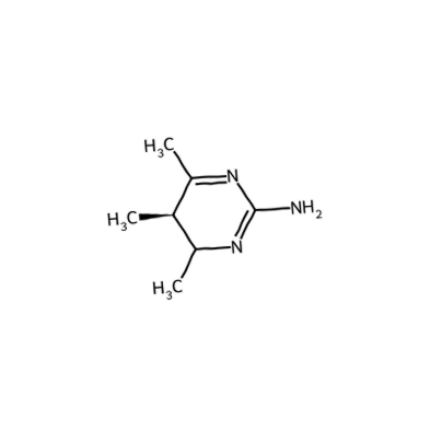 CC1=NC(N)=NC(C)[C@H]1C